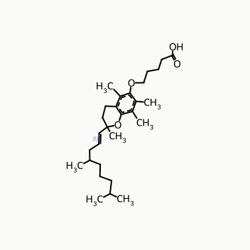 Cc1c(C)c2c(c(C)c1OCCCCC(=O)O)CCC(C)(/C=C/CC(C)CCCC(C)C)O2